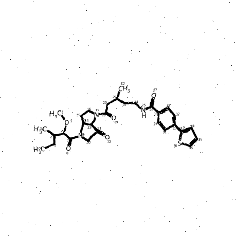 CCC(C)C(OC)C(=O)N1CC(=O)C2C1CCN2C(=O)CC(C)CCNC(=O)c1ccc(-c2cccs2)cc1